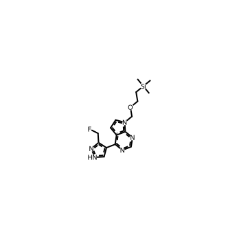 C[Si](C)(C)CCOCn1ccc2c(-c3c[nH]nc3CF)ncnc21